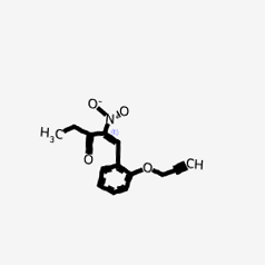 C#CCOc1ccccc1/C=C(\C(=O)CC)[N+](=O)[O-]